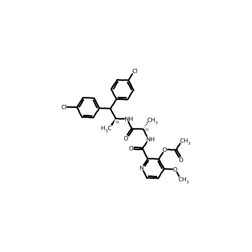 COc1ccnc(C(=O)N[C@@H](C)C(=O)N[C@@H](C)C(c2ccc(Cl)cc2)c2ccc(Cl)cc2)c1OC(C)=O